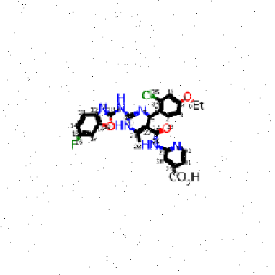 CCOc1ccc(C2N=C(Nc3nc4ccc(F)cc4o3)NC(C)=C2C(=O)Nc2cc(C(=O)O)ccn2)c(Cl)c1